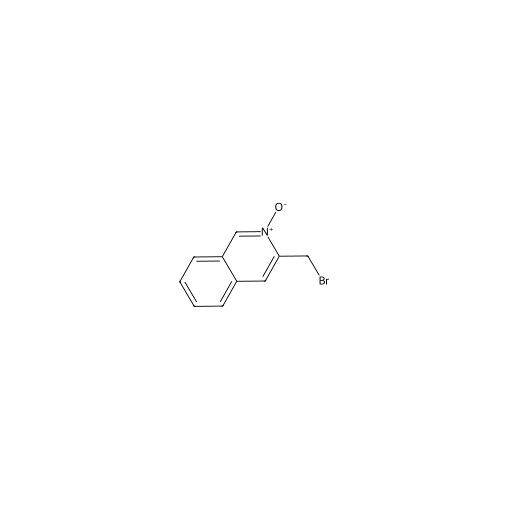 [O-][n+]1cc2ccccc2cc1CBr